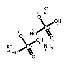 N.O=P([O-])(O)O.O=P([O-])(O)O.[K+].[K+]